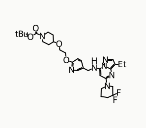 CCc1cnn2c(NCc3ccc(OCCOC4CCN(C(=O)OC(C)(C)C)CC4)nc3)cc(N3CCCC(F)(F)C3)nc12